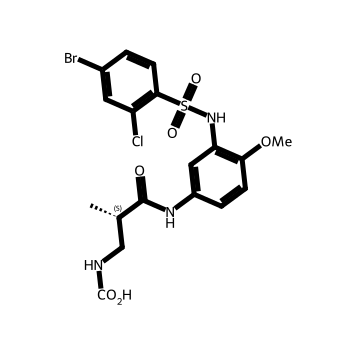 COc1ccc(NC(=O)[C@@H](C)CNC(=O)O)cc1NS(=O)(=O)c1ccc(Br)cc1Cl